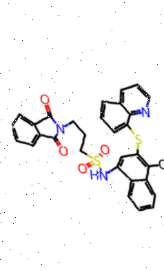 Cc1c(Sc2cccc3cccnc23)cc(NS(=O)(=O)CCCN2C(=O)c3ccccc3C2=O)c2ccccc12